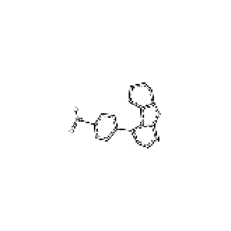 O=[N+]([O-])c1ccc(-c2ccnc3nc4ccccc4n23)cc1